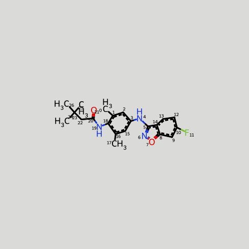 Cc1cc(Nc2noc3cc(F)ccc23)cc(C)c1NC(=O)CC(C)(C)C